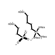 CCCCCCCCCCCCCC[P+](CCCCCC)(CCCCCC)CCCCCC.CCCCCCCCCCCCS(=O)(=O)[O-]